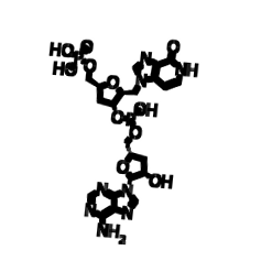 Nc1ncnc2c1ncn2[C@@H]1O[C@H](COP(O)O[C@@H]2C[C@@H](COP(=O)(O)O)O[C@H]2Cn2cnc3c(=O)[nH]ccc32)C[C@H]1O